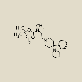 CN(CCN1CCC(c2ccccc2)(N2CCCC2)CC1)C(=O)OC(C)(C)C